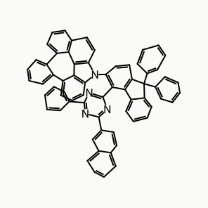 c1ccc(-c2nc(-c3ccc4ccccc4c3)nc(-c3c(-n4c5cccc6c5c5c7c(cccc7ccc54)-c4ccccc4-6)ccc4c3-c3ccccc3C4(c3ccccc3)c3ccccc3)n2)cc1